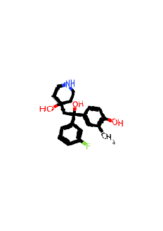 Cc1cc(C(O)(CC2(O)CCNCC2)c2cccc(F)c2)ccc1O